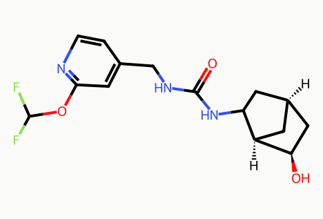 O=C(NCc1ccnc(OC(F)F)c1)NC1C[C@H]2C[C@@H](O)[C@@H]1C2